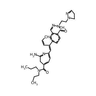 C/C=C\C(=C/C1=CC=C(C(=O)N(CCC)CCC)CC(N)=N1)c1ccc(C=O)c(/C=N\N(C)CCN2CCC=N2)c1